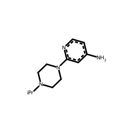 CC(C)N1CCN(c2cc(N)ccn2)CC1